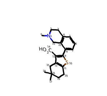 CN1CCc2cccc(-c3sc4c(c3C(=O)O)CC(C)(C)CC4)c2C1